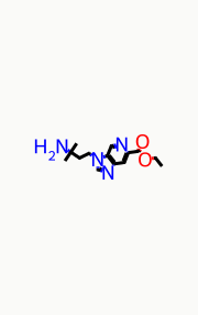 CCOC(=O)c1cc2ncn(CCC(C)(C)N)c2cn1